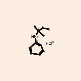 CCC(C)(C)Nc1ccccc1.Cl